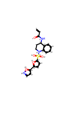 C=CC(=O)NC1CCN(S(=O)(=O)c2ccc(-c3ccno3)o2)c2ccccc21